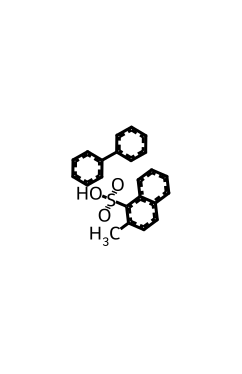 Cc1ccc2ccccc2c1S(=O)(=O)O.c1ccc(-c2ccccc2)cc1